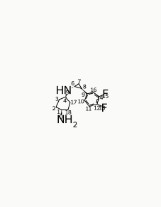 N[C@H]1CC[C@@H](N[C@@H]2C[C@H]2c2ccc(F)c(F)c2)CC1